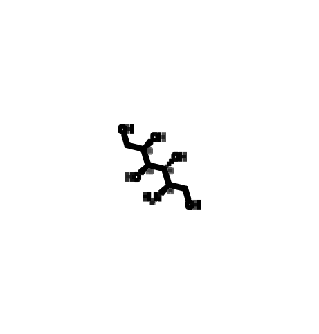 N[C@H](CO)[C@@H](O)[C@@H](O)[C@H](O)CO